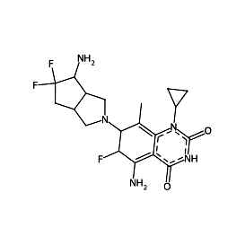 CC1=c2c(c(=O)[nH]c(=O)n2C2CC2)=C(N)C(F)C1N1CC2CC(F)(F)C(N)C2C1